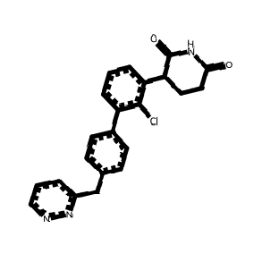 O=C1CCC(c2cccc(-c3ccc(Cc4cccnn4)cc3)c2Cl)C(=O)N1